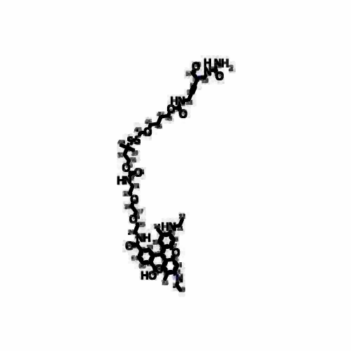 CC/N=c1/cc2oc3cc(NCC)c(C)cc3c(-c3cc(C(=O)NCCOCCOCCNC(=O)OCCC(C)(C)SSCOCCCCOC(=O)NCC#C/C(C=O)=C/NC(N)=O)ccc3C(=O)O)c-2cc1C